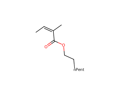 C/C=C(/C)C(=O)OCCCCCCC